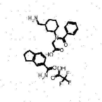 NC(=O)c1ccc2c(c1)CCC2.NCC1CCCC(N(CC(=O)O)C(=O)c2ccccc2)C1.O=C(O)C(F)(F)F